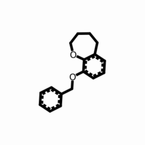 c1ccc(COc2cccc3c2OCCCC3)cc1